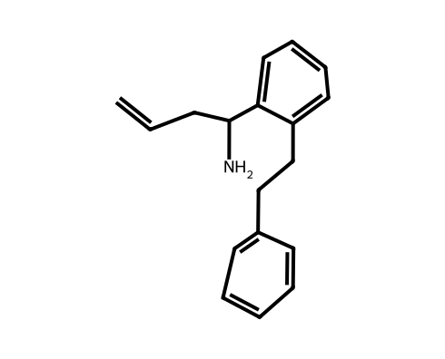 C=CCC(N)c1ccccc1CCc1ccccc1